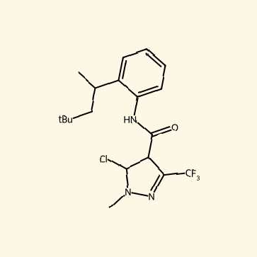 CC(CC(C)(C)C)c1ccccc1NC(=O)C1C(C(F)(F)F)=NN(C)C1Cl